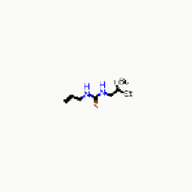 C=CCNC(=S)NCC(CC)CCCC